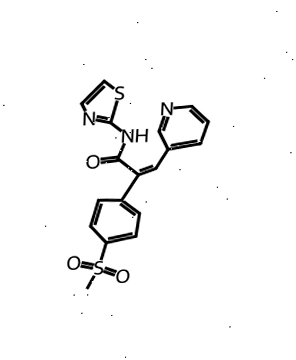 CS(=O)(=O)c1ccc(C(=Cc2cccnc2)C(=O)Nc2nccs2)cc1